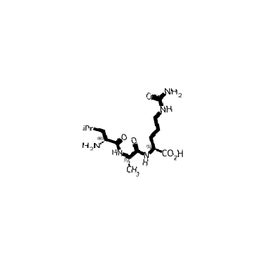 CC(C)C[C@@H](N)C(=O)N[C@@H](C)C(=O)N[C@@H](CCCNC(N)=O)C(=O)O